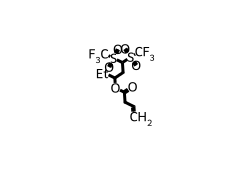 C=CCC(=O)OC(CC)CC(S(=O)(=O)C(F)(F)F)S(=O)(=O)C(F)(F)F